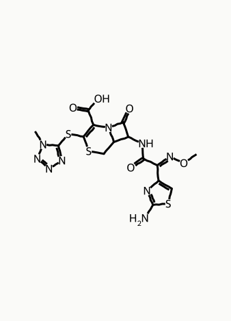 CON=C(C(=O)NC1C(=O)N2C(C(=O)O)=C(Sc3nnnn3C)SCC12)c1csc(N)n1